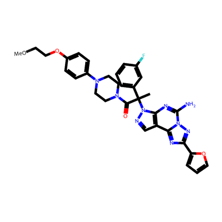 COCCOc1ccc(N2CCN(C(=O)C(C)(c3cccc(F)c3)n3ncc4c3nc(N)n3nc(-c5ccco5)nc43)CC2)cc1